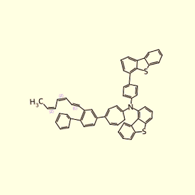 C\C=C/C=C\C=C\c1cc(C2=CC=C(N(c3ccc(-c4cccc5c4sc4ccccc45)cc3)c3cccc4sc5ccccc5c34)CC=C2)ccc1-c1ccccc1